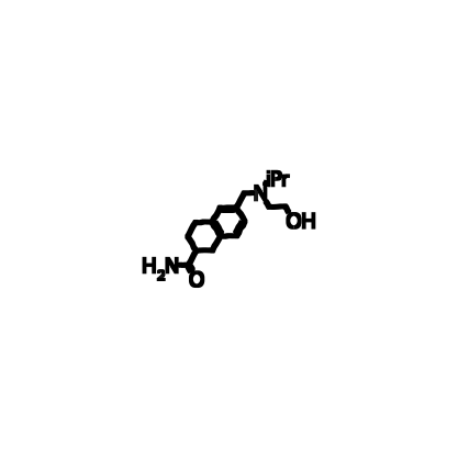 CC(C)N(CCO)Cc1ccc2c(c1)CCC(C(N)=O)C2